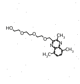 Cc1nc2c(C)ccc(C)c2nc1COCCOCCOCCO